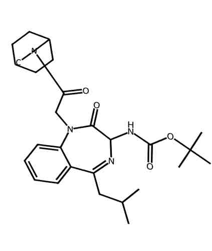 CC(C)CC1=NC(NC(=O)OC(C)(C)C)C(=O)N(CC(=O)N2CC3CCC(CC3)C2)c2ccccc21